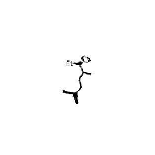 C=C(C)CCC(C)C(=O)CC